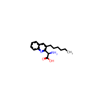 CCCCCCc1cc2ccccc2nc1C(N)C(=O)O